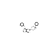 Cc1cccc(Nc2ncnc3cnc(N4CCC(O)(c5ccccc5)CC4)nc23)c1